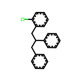 Clc1ccccc1C[C](Cc1ccccc1)c1ccccc1